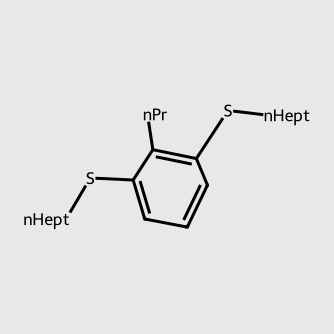 [CH2]CCc1c(SCCCCCCC)cccc1SCCCCCCC